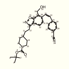 CC(C)(C)OC(=O)N1CCC(CCc2noc3c(CO)c(/C=C\c4ccc(C#N)cc4)ccc23)CC1